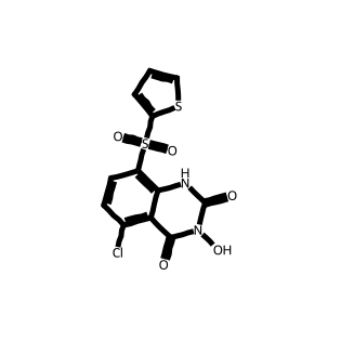 O=c1[nH]c2c(S(=O)(=O)c3cccs3)ccc(Cl)c2c(=O)n1O